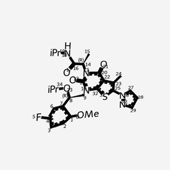 COc1ccc(F)cc1[C@H](Cn1c(=O)n([C@H](C)C(=O)NC(C)C)c(=O)c2c(C)c(-n3cccn3)sc21)OC(C)C